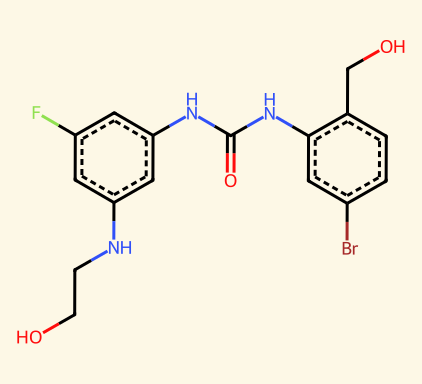 O=C(Nc1cc(F)cc(NCCO)c1)Nc1cc(Br)ccc1CO